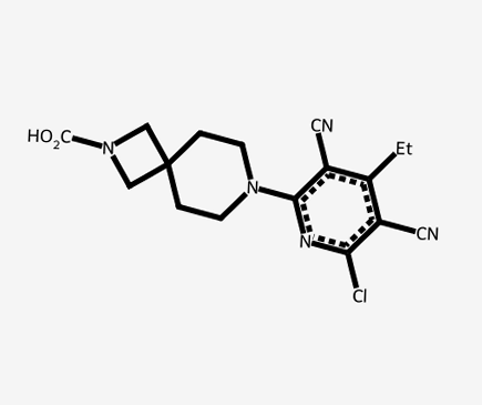 CCc1c(C#N)c(Cl)nc(N2CCC3(CC2)CN(C(=O)O)C3)c1C#N